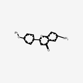 CC(C)Oc1ccc(-c2cc(=O)c3cc(N)ccc3o2)cc1